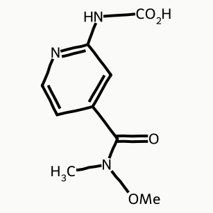 CON(C)C(=O)c1ccnc(NC(=O)O)c1